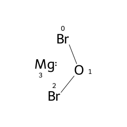 BrOBr.[Mg]